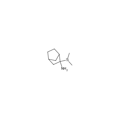 [CH3][Ti]([CH3])[C]1(N)CC2CCC1C2